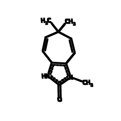 Cn1c2c([nH]c1=O)C=CC(C)(C)C=C2